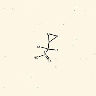 CCC(CC)(C1CO1)[PH](=O)O